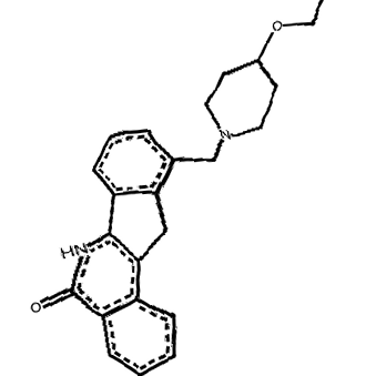 CCOC1CCN(Cc2cccc3c2Cc2c-3[nH]c(=O)c3ccccc23)CC1